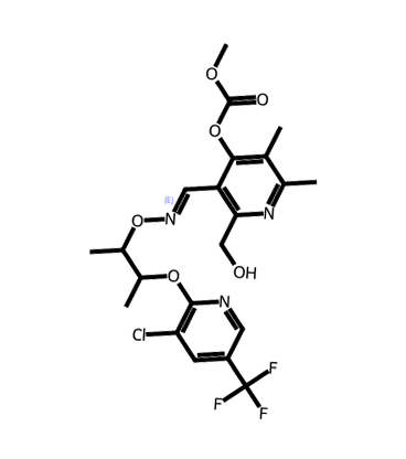 COC(=O)Oc1c(C)c(C)nc(CO)c1/C=N/OC(C)C(C)Oc1ncc(C(F)(F)F)cc1Cl